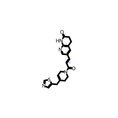 O=C1CCc2cc(/C=C/C(=O)N3CC=C(Cc4cncs4)CC3)cnc2N1